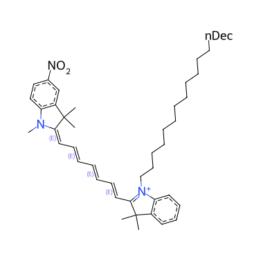 CCCCCCCCCCCCCCCCCCCCCC[N+]1=C(/C=C/C=C/C=C/C=C2/N(C)c3ccc([N+](=O)[O-])cc3C2(C)C)C(C)(C)c2ccccc21